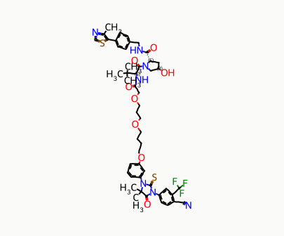 Cc1ncsc1-c1ccc(CNC(=O)[C@@H]2C[C@@H](O)CN2C(=O)[C@@H](NC(=O)COCCCOCCCCOc2cccc(N3C(=S)N(c4ccc(C#N)c(C(F)(F)F)c4)C(=O)C3(C)C)c2)C(C)(C)C)cc1